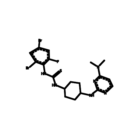 CN(C)c1ccnc(NC2CCC(NC(=S)Nc3c(F)cc(Br)cc3Br)CC2)n1